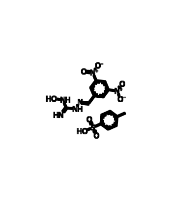 Cc1ccc(S(=O)(=O)O)cc1.N=C(NO)NN=Cc1cc([N+](=O)[O-])cc([N+](=O)[O-])c1